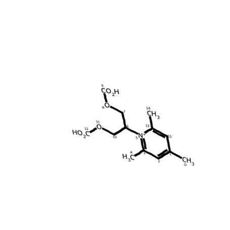 Cc1cc(C)[n+](C(COC(=O)O)COC(=O)O)c(C)c1